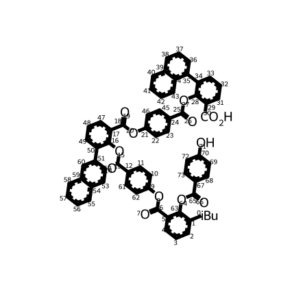 CCC(C)c1cccc(C(=O)Oc2ccc(C(=O)Oc3c(C(=O)Oc4ccc(C(=O)Oc5c(C(=O)O)cccc5-c5cccc6ccccc56)cc4)cccc3-c3ccc4ccccc4c3)cc2)c1OC(=O)c1ccc(O)cc1